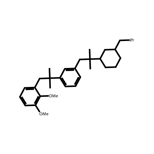 COc1cccc(CC(C)(C)c2cccc(CC(C)(C)C3CCCC(CC(C)C)C3)c2)c1OC